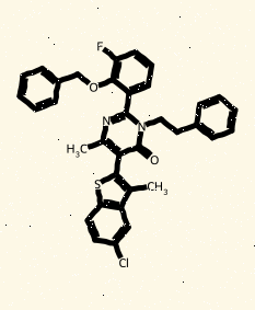 Cc1nc(-c2cccc(F)c2OCc2ccccc2)n(CCc2ccccc2)c(=O)c1-c1sc2ccc(Cl)cc2c1C